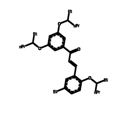 CCCC(CC)Oc1cc(OC(CC)CCC)cc(C(=O)C=Cc2cc(CC)ccc2OC(CC)CCC)c1